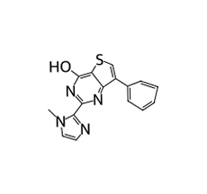 Cn1ccnc1-c1nc(O)c2scc(-c3ccccc3)c2n1